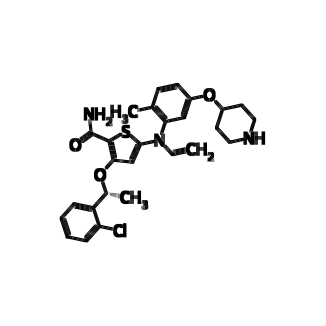 C=CN(c1cc(O[C@H](C)c2ccccc2Cl)c(C(N)=O)s1)c1cc(OC2CCNCC2)ccc1C